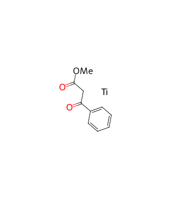 COC(=O)CC(=O)c1ccccc1.[Ti]